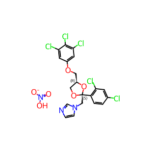 Clc1ccc([C@]2(Cn3ccnc3)OC[C@@H](COc3cc(Cl)c(Cl)c(Cl)c3)O2)c(Cl)c1.O=[N+]([O-])O